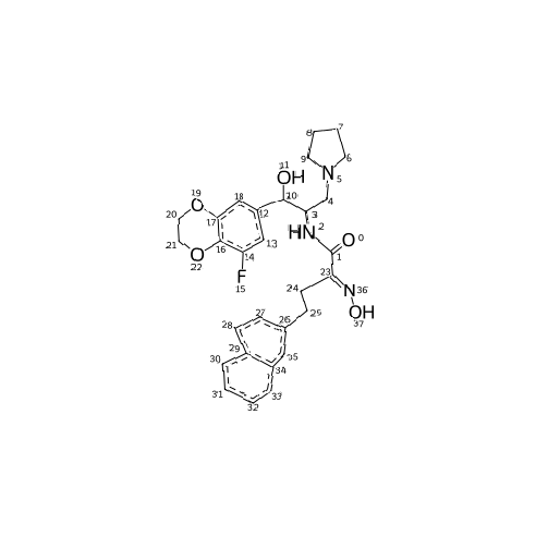 O=C(NC(CN1CCCC1)C(O)c1cc(F)c2c(c1)OCCO2)/C(CCc1ccc2ccccc2c1)=N/O